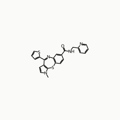 Cn1ccc2c1Sc1ccc(C(=O)NCc3ccccn3)cc1N=C2c1cccs1